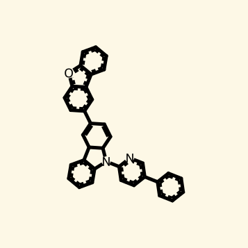 C1=CC2C(C=C1c1ccc3oc4ccccc4c3c1)c1ccccc1N2c1ccc(-c2ccccc2)cn1